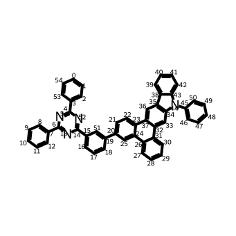 c1ccc(-c2nc(-c3ccccc3)nc(-c3cccc(-c4ccc5c(c4)c4ccccc4c4cc6c(cc54)c4ccccc4n6-c4ccccc4)c3)n2)cc1